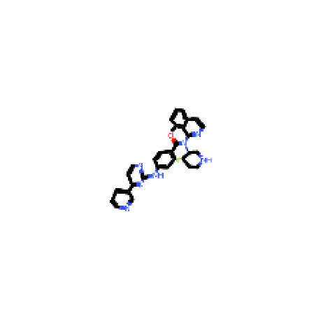 Cc1cccc2ccnc(N(C(=O)c3ccc(Nc4nccc(-c5cccnc5)n4)cc3F)[C@@H]3CCCNC3)c12